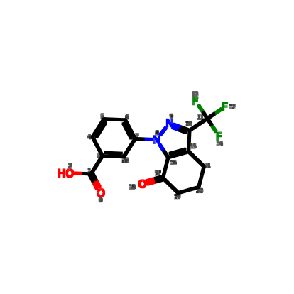 O=C(O)c1cccc(-n2nc(C(F)(F)F)c3c2C(=O)CCC3)c1